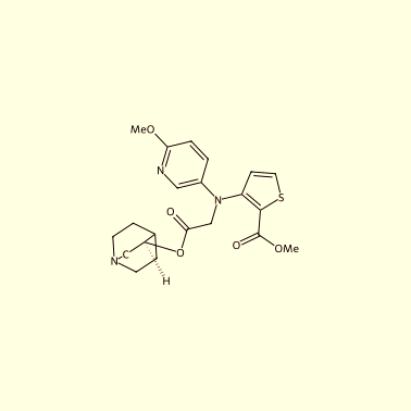 COC(=O)c1sccc1N(CC(=O)O[C@H]1CN2CCC1CC2)c1ccc(OC)nc1